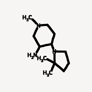 CN1CCC(N2CCCC2(C)C)C(N)C1